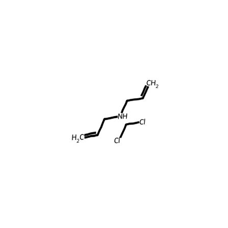 C=CCNCC=C.ClCCl